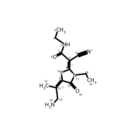 CCNC(=O)/C(C#N)=c1\s/c(=C(\C)CN)c(=O)n1CC